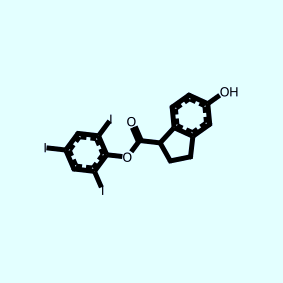 O=C(Oc1c(I)cc(I)cc1I)C1CCc2cc(O)ccc21